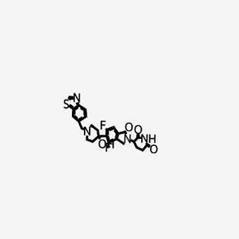 O=C1CCC(N2Cc3c(cc(F)c(C4(O)CCN(Cc5ccc6ncsc6c5)CC4)c3F)C2=O)C(=O)N1